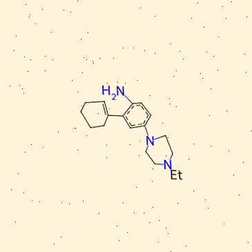 CCN1CCN(c2ccc(N)c(C3=CCCCC3)c2)CC1